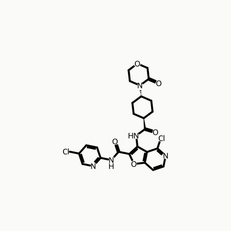 O=C(Nc1ccc(Cl)cn1)c1oc2ccnc(Cl)c2c1NC(=O)[C@H]1CC[C@H](N2CCOCC2=O)CC1